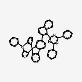 c1ccc(-c2nc(-c3ccccc3)nc(-c3c(-c4ccc5c(c4)C4(c6ccccc6-5)c5ccccc5N(c5ccccc5)c5ccccc54)ccc4ccccc34)n2)cc1